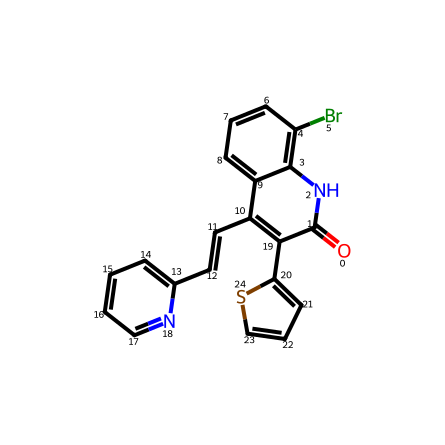 O=c1[nH]c2c(Br)cccc2c(C=Cc2ccccn2)c1-c1cccs1